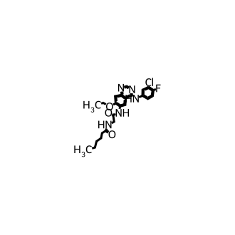 CCCCCC(=O)NCC(=O)Nc1cc2c(Nc3ccc(F)c(Cl)c3)ncnc2cc1OCC